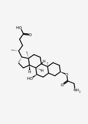 C[C@H](CCC(=O)O)[C@H]1CC[C@H]2[C@@H]3[C@H](O)CC4C[C@H](OC(=O)CN)CC[C@]4(C)[C@H]3CC[C@]12C